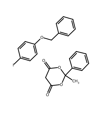 CC1(c2ccccc2)OC(=O)CC(=O)O1.Ic1ccc(OCc2ccccc2)cc1